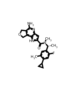 Cc1cc([C@@H](C)N(C)C(=O)c2cc3nc(N)c4c(c3[nH]2)COC4)c(F)cc1C1CC1